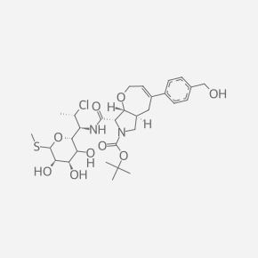 CSC1O[C@H]([C@H](NC(=O)[C@@H]2[C@@H]3OCC=C(c4ccc(CO)cc4)C[C@H]3CN2C(=O)OC(C)(C)C)[C@H](C)Cl)C(O)[C@@H](O)[C@H]1O